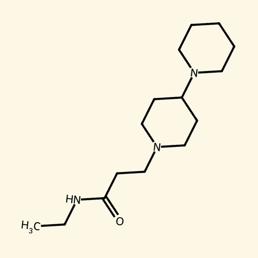 CCNC(=O)CCN1CCC(N2CCCCC2)CC1